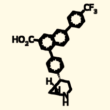 O=C(O)c1cc(-c2ccc([C@@H]3CCN[C@H]4C[C@H]43)cc2)c2ccc(-c3ccc(C(F)(F)F)cc3)cc2c1